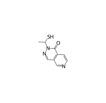 CC(S)n1ncc2cnccc2c1=O